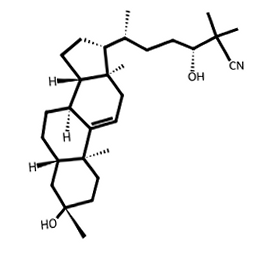 C[C@H](CC[C@@H](O)C(C)(C)C#N)[C@H]1CC[C@H]2[C@@H]3CC[C@H]4C[C@@](C)(O)CC[C@]4(C)C3=CC[C@]12C